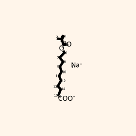 C=C(C)C(=O)OCCCCCCCCCCC(=O)[O-].[Na+]